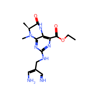 CCOC(=O)c1nc(NC/C(C=N)=C/N)nc2c1NC(=O)[C@H](C)N2C